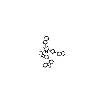 c1ccc2cc(-c3ccc(-c4nc(-c5ccc6ccccc6c5)nc(-c5cccc6oc7cc(-c8cccc9sc%10ccccc%10c89)ccc7c56)n4)cc3)ccc2c1